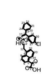 O=C(O)C(=O)c1cccc2c(CCNS(=O)(=O)C=C(c3ccccc3)c3ccc(Cl)cc3)cccc12